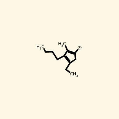 CCCCC1=C(CC)C[C]([Zr])=C1C